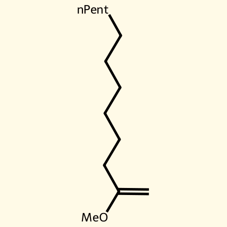 C=C(CCCCCCCCCCC)OC